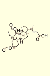 CC[C@@H]1C2C[C@H](OC=O)CCC2(C)[C@H]2CCC3(C)C([C@H](C)CCC(=O)O)CC[C@H]3[C@@H]2[C@@H]1OC=O